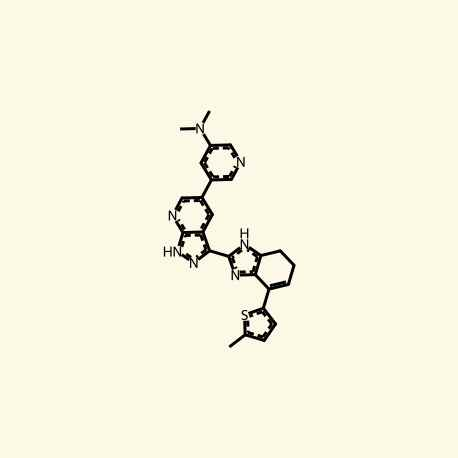 Cc1ccc(C2=CCCc3[nH]c(-c4n[nH]c5ncc(-c6cncc(N(C)C)c6)cc45)nc32)s1